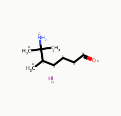 CC(CCCC=O)C(C)(C)N.I